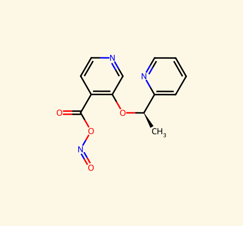 C[C@@H](Oc1cnccc1C(=O)ON=O)c1ccccn1